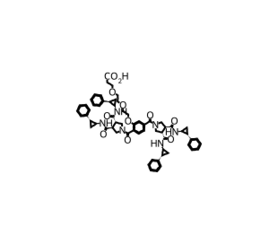 O=C(O)CCOCCOCCOc1cc(C(=O)N2C[C@@H](C(=O)N[C@H]3C[C@@H]3c3ccccc3)[C@H](C(=O)N[C@H]3C[C@@H]3c3ccccc3)C2)ccc1C(=O)N1C[C@@H](C(=O)N[C@H]2C[C@@H]2c2ccccc2)[C@H](C(=O)N[C@H]2C[C@@H]2c2ccccc2)C1